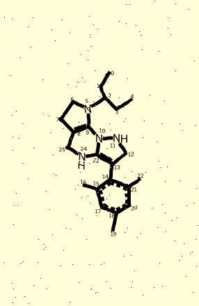 CCC(CC)N1CCC2=C1N1NCC(c3c(C)cc(C)cc3C)=C1NC2